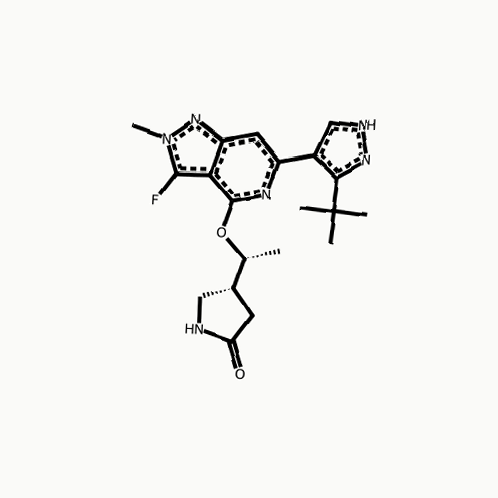 C[C@@H](Oc1nc(-c2c[nH]nc2C(C)(C)C)cc2nn(C)c(F)c12)[C@H]1CNC(=O)C1